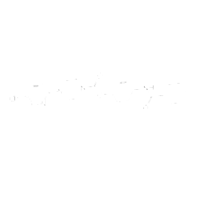 O=C(Nc1ccc(OC(=O)N2CCN(c3ccc(Cl)cn3)CC2)cc1)C1CCCCC1